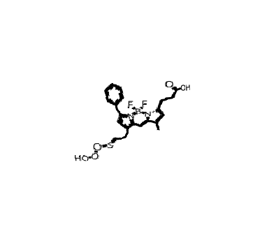 CC1=CC(CCC(=O)O)=[N+]2C1=Cc1c(CCSOOO)cc(-c3ccccc3)n1[B-]2(F)F